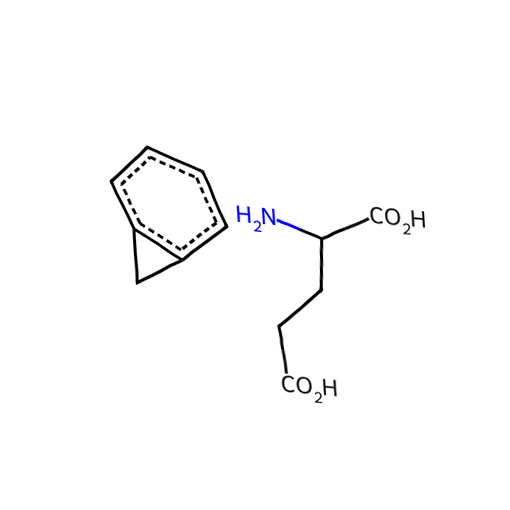 NC(CCC(=O)O)C(=O)O.c1ccc2c(c1)C2